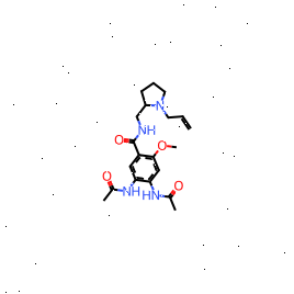 C=CCN1CCCC1CNC(=O)c1cc(NC(C)=O)c(NC(C)=O)cc1OC